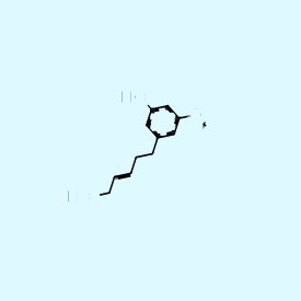 CC/C=C/CCc1cc(O)cc(OC)c1